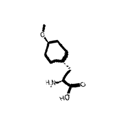 CO[C@H]1CC[C@H](C[C@H](N)C(=O)O)CC1